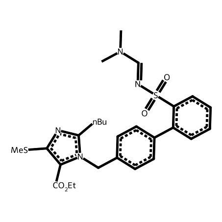 CCCCc1nc(SC)c(C(=O)OCC)n1Cc1ccc(-c2ccccc2S(=O)(=O)/N=C/N(C)C)cc1